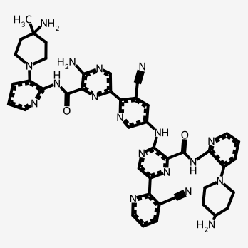 CC1(N)CCN(c2cccnc2NC(=O)c2nc(-c3ncc(Nc4ncc(-c5ncccc5C#N)nc4C(=O)Nc4ncccc4N4CCC(N)CC4)cc3C#N)cnc2N)CC1